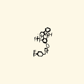 C[C@@H]1Cc2c([nH]c3ccccc23)C(c2c(F)cc(OC3CN(CC4CCC(F)(F)CC4)C3)cc2F)N1CC(C)(C)F